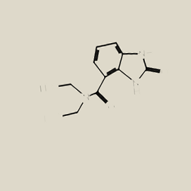 CCN(CC)C(=O)c1cccc2[nH]c(=O)[nH]c12